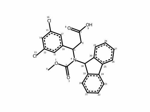 COC(=O)N(C(CC(=O)O)c1cc(Cl)cc(Cl)c1)C1c2ccccc2-c2ccccc21